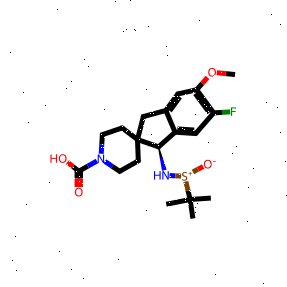 COc1cc2c(cc1F)[C@@H](N[S+]([O-])C(C)(C)C)C1(CCN(C(=O)O)CC1)C2